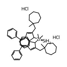 CC1(CC2=Cc3c(-c4ccccc4)cccc3[CH]2[Zr]([CH3])([CH3])(=[SiH2])[CH]2C(CC3(C)CCCCCC3)=Cc3c(-c4ccccc4)cccc32)CCCCCC1.Cl.Cl